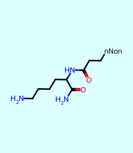 CCCCCCCCCCCC(=O)NC(CCCCN)C(N)=O